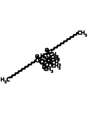 CCCCCCCCCCCCCCCCCCOC(=O)CCSCCC(=O)OCCCCCCCCCCCCCCCCCC.COC(=O)C1CCCCC1c1cc(C(C)(C)C)c(O)c(C(C)(C)C)c1